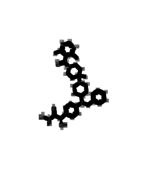 CCNC(=O)[C@@H](O)c1ccc(N(Cc2ccccc2)C2CCN(C3(C)CCN(C(=O)c4c(C)ncnc4C)CC3)CC2)cc1